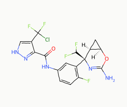 NC1=N[C@@](c2cc(NC(=O)c3n[nH]cc3C(F)(F)Cl)ccc2F)(C(F)F)[C@H]2C[C@H]2O1